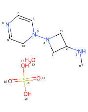 CNC1CN(N2C=CN=CC2)C1.O.O=S(=O)(O)O